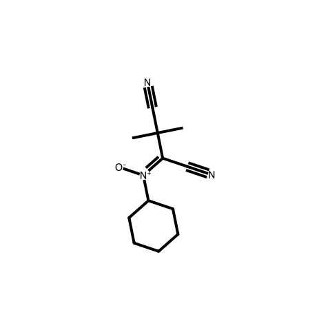 CC(C)(C#N)C(C#N)=[N+]([O-])C1CCCCC1